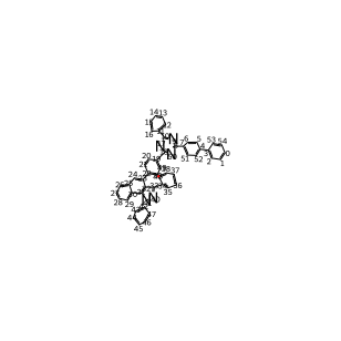 c1ccc(-c2ccc(-c3nc(-c4ccccc4)nc(-c4ccc(-c5cc6ccccc6c6c5c(-c5ccccc5)nn6-c5ccccc5)cc4)n3)cc2)cc1